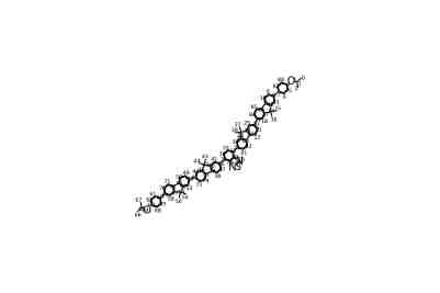 CC(C)Oc1ccc(-c2ccc3c(c2)C(C)(C)c2cc(-c4ccc5c(c4)C(C)(C)c4cc(-c6ccc(-c7ccc8c(c7)C(C)(C)c7cc(-c9ccc%10c(c9)C(C)(C)c9cc(-c%11ccc(OC(C)C)cc%11)ccc9-%10)ccc7-8)c7nsnc67)ccc4-5)ccc2-3)cc1